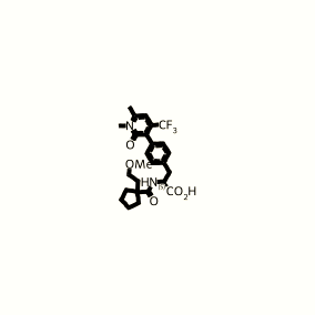 COCCC1(C(=O)N[C@@H](Cc2ccc(-c3c(C(F)(F)F)cc(C)n(C)c3=O)cc2)C(=O)O)CCCC1